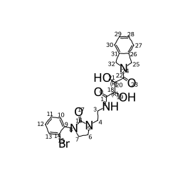 O=C(NCCN1CCN(c2ccccc2Br)C1=O)[C@H](O)[C@@H](O)C(=O)N1Cc2ccccc2C1